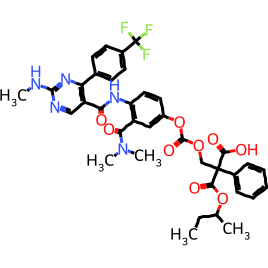 CCC(C)OC(=O)C(COC(=O)Oc1ccc(NC(=O)c2cnc(NC)nc2-c2ccc(C(F)(F)F)cc2)c(C(=O)N(C)C)c1)(C(=O)O)c1ccccc1